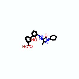 CC1=NN(C2CCCCC2)C(=O)C1=NNc1cccc(-c2cccc(C(=O)O)c2)c1O